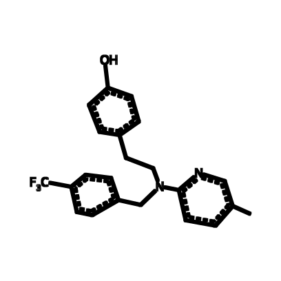 Cc1ccc(N(CCc2ccc(O)cc2)Cc2ccc(C(F)(F)F)cc2)nc1